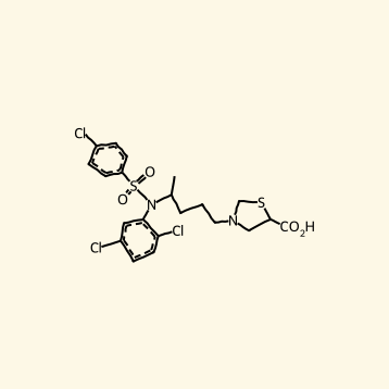 CC(CCCN1CSC(C(=O)O)C1)N(c1cc(Cl)ccc1Cl)S(=O)(=O)c1ccc(Cl)cc1